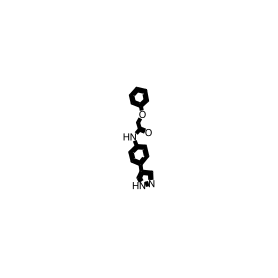 O=C(COc1ccccc1)Nc1ccc(-c2cn[nH]c2)cc1